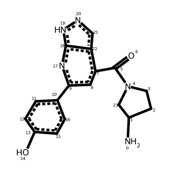 NC1CCN(C(=O)c2cc(-c3ccc(O)cc3)nc3[nH]ncc23)C1